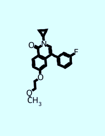 COCCOc1ccc2c(=O)n(C3CC3)cc(-c3cccc(F)c3)c2c1